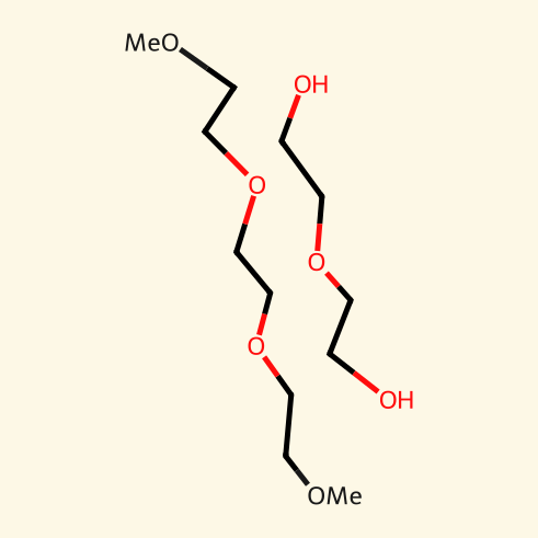 COCCOCCOCCOC.OCCOCCO